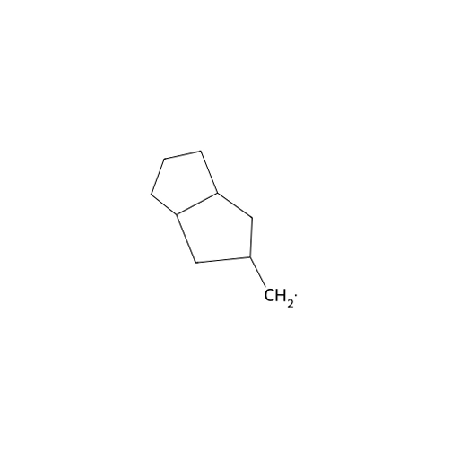 [CH2]C1CC2CCCC2C1